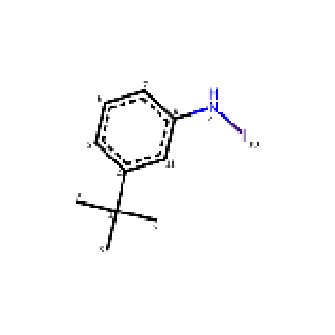 CC(C)(C)c1cccc(NI)c1